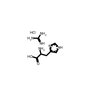 Cl.N=C(N)N.NC(Cc1c[nH]cn1)C(=O)O